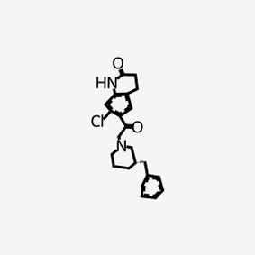 O=C1CCc2cc(C(=O)CN3CCC[C@@H](Cc4ccccc4)C3)c(Cl)cc2N1